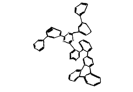 C1=C(c2ccccc2)CCC=C1c1nc(-c2cccc(-c3ccccc3)c2)nc(-c2ccccc2-c2ccccc2-c2ccc3c4ccccc4c4ccccc4c3c2)n1